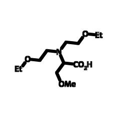 CCOCCN(CCOCC)C(COC)C(=O)O